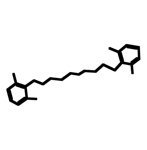 Cc1cccc(C)c1CCCCCCCCCCc1c(C)cccc1C